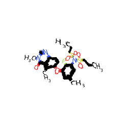 CCCS(=O)(=O)N(c1cc(C)cc(Oc2ccc3ncn(C)c(=O)c3c2C)c1F)S(=O)(=O)CCC